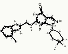 Cc1cccc2oc(CSc3nc4c(cnn4C4CCC(F)(F)CC4)c(=O)[nH]3)nc12